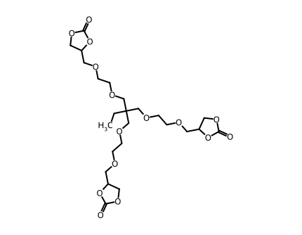 CCC(COCCOCC1COC(=O)O1)(COCCOCC1COC(=O)O1)COCCOCC1COC(=O)O1